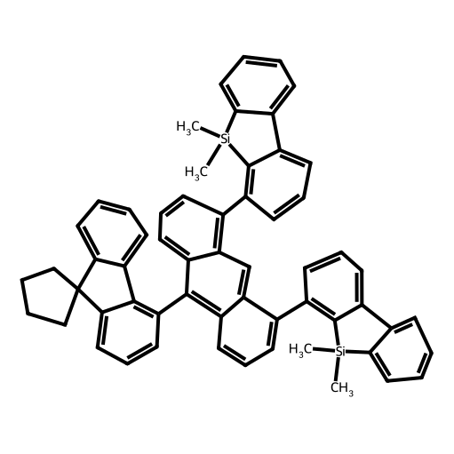 C[Si]1(C)c2ccccc2-c2cccc(-c3cccc4c(-c5cccc6c5-c5ccccc5C65CCCC5)c5cccc(-c6cccc7c6[Si](C)(C)c6ccccc6-7)c5cc34)c21